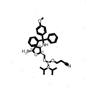 B[C@H]1C[C@H](NC(c2ccccc2)(c2ccccc2)c2ccc(OC)cc2)[C@@H](COP(OCCC#N)N(C(C)C)C(C)C)O1